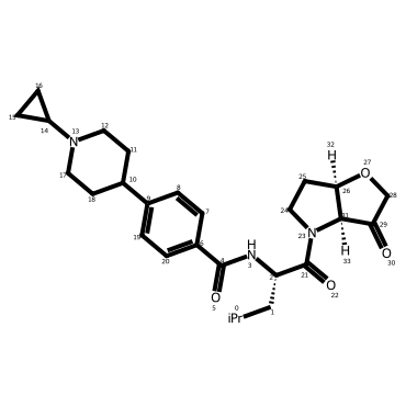 CC(C)C[C@H](NC(=O)c1ccc(C2CCN(C3CC3)CC2)cc1)C(=O)N1CC[C@H]2OCC(=O)[C@H]21